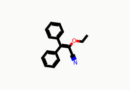 CCOC(C#N)=C(c1ccccc1)c1ccccc1